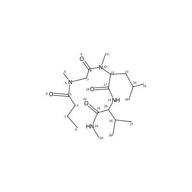 CCCC(=O)N(C)CC(=O)N(C)C(CC(C)C)C(=O)NC(C(=O)NC)C(C)C